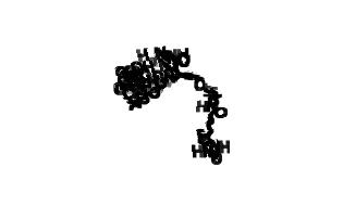 CC(C)(C)SSCO[C@@H]1C[C@H](n2cc(C#CCOCSSC(C)(C)CNC(=O)CCCCC3SCC4NC(=O)NC43)c3c(=O)[nH]c(N)nc32)O[C@@H]1COP(=O)(O)OP(=O)(O)OP(=O)(O)O